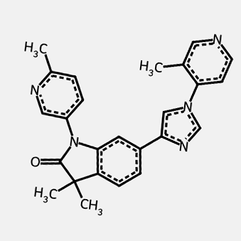 Cc1ccc(N2C(=O)C(C)(C)c3ccc(-c4cn(-c5ccncc5C)cn4)cc32)cn1